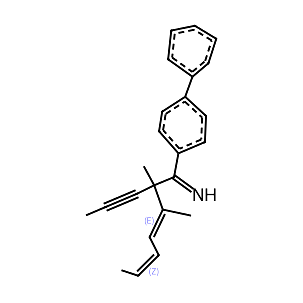 CC#CC(C)(C(=N)c1ccc(-c2ccccc2)cc1)/C(C)=C/C=C\C